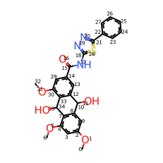 COc1cc(OC)c2c(c1)C(O)c1cc(C(=O)Nc3nnc(-c4ccccc4)s3)cc(OC)c1C2O